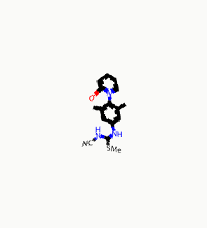 CSC(NC#N)Nc1cc(C)c(-n2ccccc2=O)c(C)c1